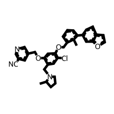 Cc1c(COc2cc(OCc3cncc(C#N)c3)c(CN3CCCC3C)cc2Cl)cccc1-c1ccc2ccoc2c1